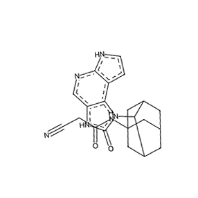 N#CCC(=O)NC12CC3CC(C1)C(n1c(=O)[nH]c4cnc5[nH]ccc5c41)C(C3)C2